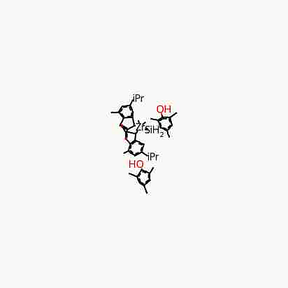 CC1=Cc2c(C)cc(C(C)C)cc2[CH]1[Zr]([CH3])([CH3])(=[SiH2])[CH]1C(C)=Cc2c(C)cc(C(C)C)cc21.Cc1cc(C)c(O)c(C)c1.Cc1cc(C)c(O)c(C)c1